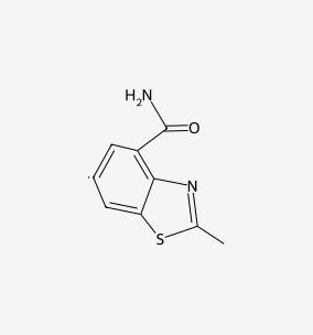 Cc1nc2c(C(N)=O)c[c]cc2s1